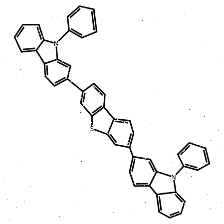 c1ccc(-n2c3ccccc3c3ccc(-c4ccc5c(c4)sc4cc(-c6ccc7c8ccccc8n(-c8ccccc8)c7c6)ccc45)cc32)cc1